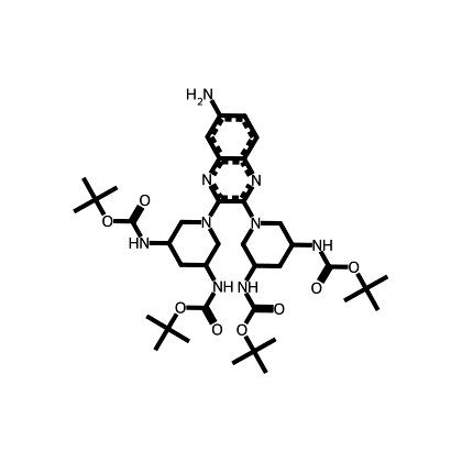 CC(C)(C)OC(=O)NC1CC(NC(=O)OC(C)(C)C)CN(c2nc3ccc(N)cc3nc2N2CC(NC(=O)OC(C)(C)C)CC(NC(=O)OC(C)(C)C)C2)C1